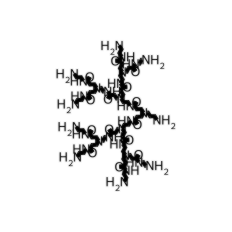 NCCCN(CCC(=O)NCCN(CCC(=O)NCCN(CCC(=O)NCCN)CCC(=O)NCCN)CCC(=O)NCCN(CCC(=O)NCCN)CCC(=O)NCCN)CCC(=O)NCCN(CCC(=O)NCCN(CCC(=O)NCCN)CCC(=O)NCCN)CCC(=O)NCCN(CCC(=O)NCCN)CCC(=O)NCCN